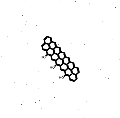 Oc1c2cccc3ccc4cc5cc6cc7cc8cc9cccc%10ccc%11c(O)c%12cc%13c(O)c%14cc1c(c4c32)c5c%14c6c%13c7c%12c8c%11c%109